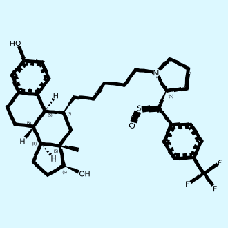 C[C@]12C[C@H](CCCCCN3CCC[C@H]3C(=S=O)c3ccc(C(F)(F)F)cc3)[C@@H]3c4ccc(O)cc4CC[C@H]3[C@@H]1CC[C@@H]2O